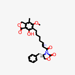 COc1c(C)c2c(c(O)c1CCCC/C=C/C(=O)N1C(=O)OC[C@@H]1Cc1ccccc1)C(=O)OC2